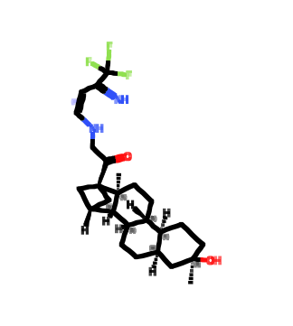 C[C@@]1(O)CC[C@H]2[C@H](CC[C@@H]3[C@@H]2CC[C@@]2(C)[C@H]3[C@H]3C[C@]2(C(=O)CN/C=C\C(=N)C(F)(F)F)C3)C1